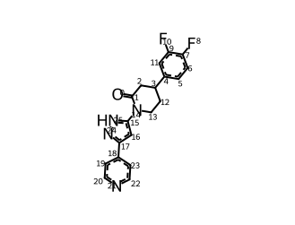 O=C1CC(c2ccc(F)c(F)c2)CCN1c1cc(-c2ccncc2)n[nH]1